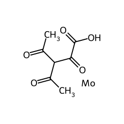 CC(=O)C(C(C)=O)C(=O)C(=O)O.[Mo]